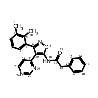 Cc1cccc(-c2noc(NC(=O)Cc3ccccc3)c2-c2ccncn2)c1C